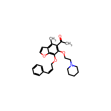 CC(=O)c1c(OCCN2CCCCC2)c(OC/C=C\c2ccccc2)c2occc2c1C